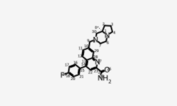 C[C@]12CCCN1CCN(Cc1ccc3c(-c4ccc(F)cc4)cc(C(N)=O)nc3c1)C2